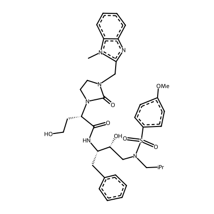 COc1ccc(S(=O)(=O)N(CC(C)C)C[C@@H](O)[C@H](Cc2ccccc2)NC(=O)[C@H](CCO)N2CCN(Cc3nc4ccccc4n3C)C2=O)cc1